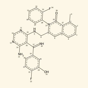 Cc1cccc2cc(CNc3ncnc(N)c3C(=N)c3ccc(F)c(O)c3)n(-c3ccccc3F)c(=O)c12